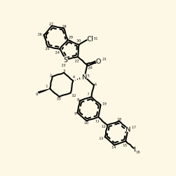 C[C@H]1CC[C@H](N(Cc2cccc(-c3ccc(I)nc3)c2)C(=O)c2sc3ccccc3c2Cl)CC1